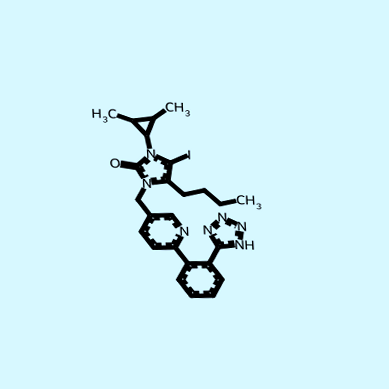 CCCCc1c(I)n(C2C(C)C2C)c(=O)n1Cc1ccc(-c2ccccc2-c2nnn[nH]2)nc1